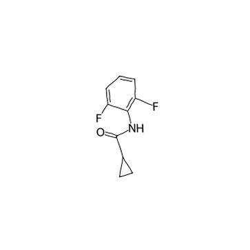 O=C(Nc1c(F)cccc1F)C1CC1